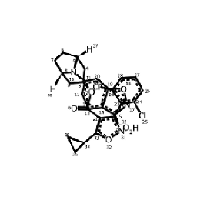 O=C(OC1C[C@H]2CC[C@@H](C1)N2c1ccc2c(C(=O)O)noc2c1)c1c(-c2c(Cl)cccc2Cl)noc1C1CC1